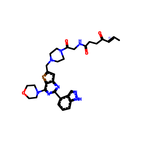 C/C=C/C(=O)CCC(=O)NCC(=O)N1CCN(Cc2cc3nc(-c4cccc5[nH]ncc45)nc(N4CCOCC4)c3s2)CC1